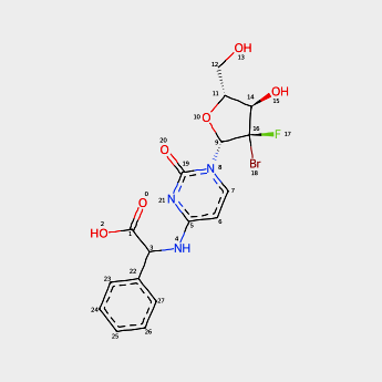 O=C(O)C(Nc1ccn([C@@H]2O[C@H](CO)[C@@H](O)[C@]2(F)Br)c(=O)n1)c1ccccc1